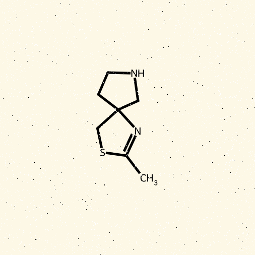 CC1=NC2(CCNC2)CS1